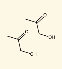 CC(=O)CO.CC(=O)CO